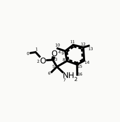 CCOC(=O)C(C)(N)c1c(C)cc(C)cc1C